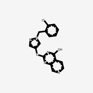 Oc1nc(Oc2cnn(Cc3ccccc3Cl)c2)nc2cnccc12